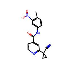 Cc1ccc(NC(=O)c2ccnc(C3(C#N)CC3)c2)cc1[N+](=O)[O-]